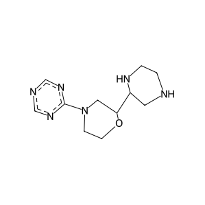 c1ncnc(N2CCOC(C3CNCCN3)C2)n1